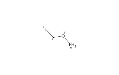 POCI